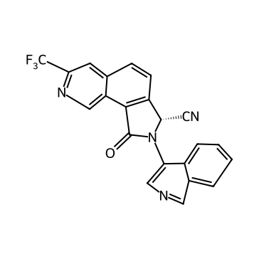 N#C[C@H]1c2ccc3cc(C(F)(F)F)ncc3c2C(=O)N1c1cncc2ccccc12